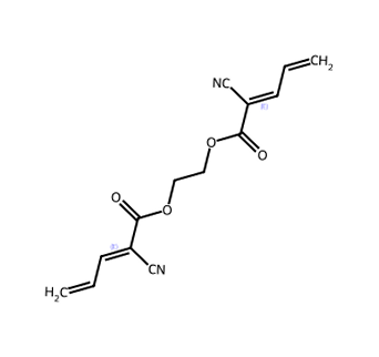 C=C/C=C(\C#N)C(=O)OCCOC(=O)/C(C#N)=C/C=C